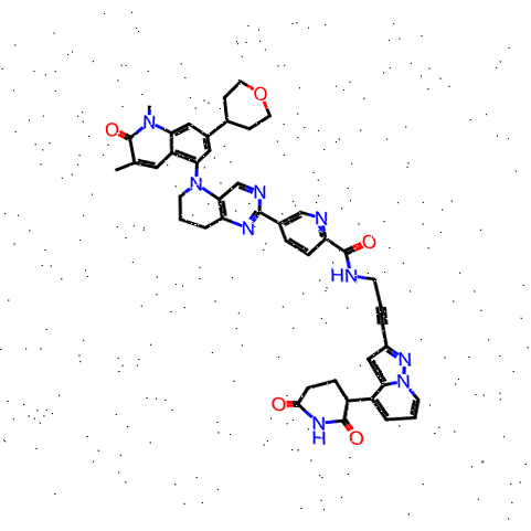 Cc1cc2c(N3CCCc4nc(-c5ccc(C(=O)NCC#Cc6cc7c(C8CCC(=O)NC8=O)cccn7n6)nc5)ncc43)cc(C3CCOCC3)cc2n(C)c1=O